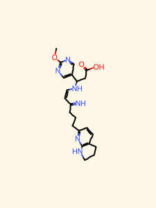 COc1ncc(C(CC(=O)O)N/C=C\C(=N)CCCc2ccc3c(n2)NCCC3)cn1